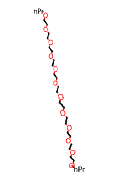 CCCOCCOCCOCCOCCOCCOCCOCCOCCOCCOCCOCCOCCC